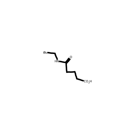 CCC(C)CNC(=O)CCCC(=O)O